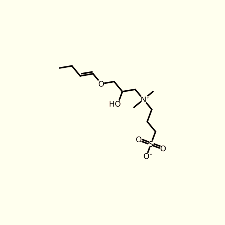 CCC=COCC(O)C[N+](C)(C)CCCS(=O)(=O)[O-]